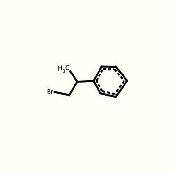 CC(CBr)c1c[c]ccc1